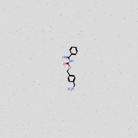 N=C(NC(=O)OCc1ccc(CN)cc1)c1ccccc1